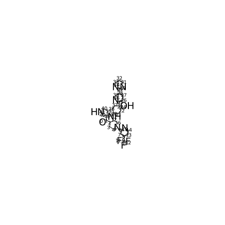 O=C(C1CCN(c2cc(C(F)(F)F)ccn2)CC1)[C@]1(NC2CCC(O)(c3ccc(-c4ncccn4)cn3)CC2)CCNC1